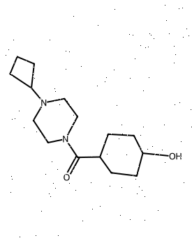 O=C(C1CCC(O)CC1)N1CCN(C2CCC2)CC1